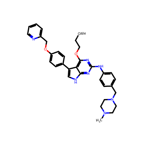 COCCOc1nc(Nc2ccc(CN3CCN(C)CC3)cc2)nc2[nH]cc(-c3ccc(OCc4ccccn4)cc3)c12